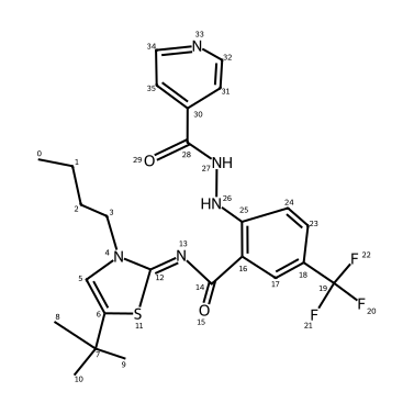 CCCCn1cc(C(C)(C)C)sc1=NC(=O)c1cc(C(F)(F)F)ccc1NNC(=O)c1ccncc1